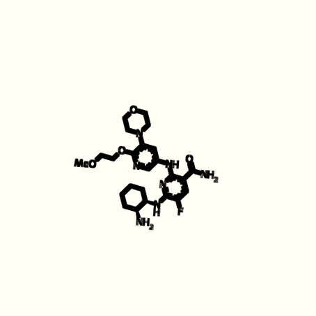 COCCOc1ncc(Nc2nc(N[C@@H]3CCCC[C@@H]3N)c(F)cc2C(N)=O)cc1N1CCOCC1